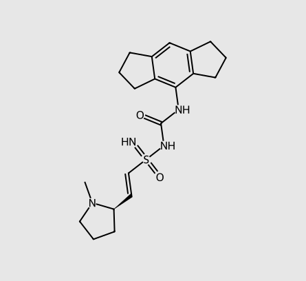 CN1CCC[C@@H]1/C=C/S(=N)(=O)NC(=O)Nc1c2c(cc3c1CCC3)CCC2